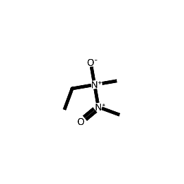 CC[N+](C)([O-])[N+](C)=O